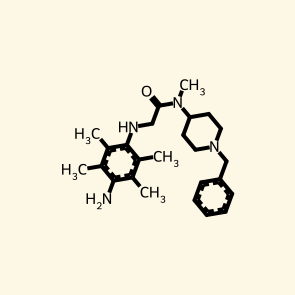 Cc1c(C)c(NCC(=O)N(C)C2CCN(Cc3ccccc3)CC2)c(C)c(C)c1N